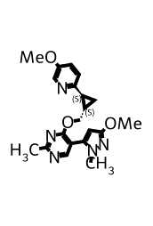 COc1ccc([C@H]2C[C@@H]2COc2nc(C)ncc2-c2cc(OC)nn2C)nc1